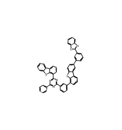 c1ccc(-c2nc(-c3cccc(-c4cccc5c4sc4ccc(-c6cccc(-c7nc8ccccc8o7)c6)cc45)c3)nc(-c3cccc4c3sc3ccccc34)n2)cc1